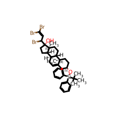 CC(C)(C)[Si](O[C@H]1CC[C@@]2(C)C(=CC[C@@H]3[C@@H]2CC[C@@]2(C)[C@H]3CC[C@@]2(O)C(Br)C=C(Br)Br)C1)(c1ccccc1)c1ccccc1